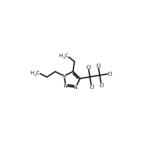 CCCn1nnc(C(Cl)(Cl)C(Cl)(Cl)Cl)c1CC